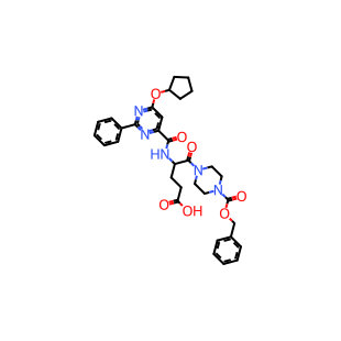 O=C(O)CCC(NC(=O)c1cc(OC2CCCC2)nc(-c2ccccc2)n1)C(=O)N1CCN(C(=O)OCc2ccccc2)CC1